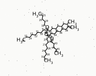 CCCCCCC[CH2][Sn]([CH2]CCCCCCC)([O]CCCCC)[O][Sn]([CH2]CCCCCCC)([CH2]CCCCCCC)[O]CCCCC